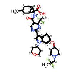 CC1CC2CC(C1)C(NC(=O)c1cnc(-c3cn(C4CCOCC4)c4cc(OC5CCN(CC(C)(F)F)CC5)ccc34)nc1C(C)(F)F)(C(=O)O)C2